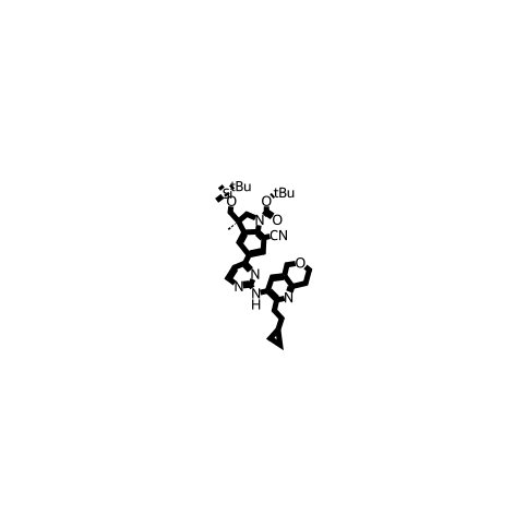 CC(C)(C)OC(=O)N1C[C@](C)(CO[Si](C)(C)C(C)(C)C)c2cc(-c3ccnc(Nc4cc5c(nc4CCC4CC4)CCOC5)n3)cc(C#N)c21